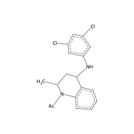 CC(=O)N1c2ccccc2C(Nc2cc(Cl)cc(Cl)c2)CC1C